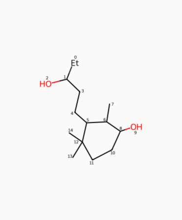 CCC(O)CCC1C(C)C(O)CCC1(C)C